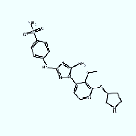 COc1c(S[C@H]2CCNC2)ncnc1-n1nc(Nc2ccc(S(N)(=O)=O)cc2)nc1N